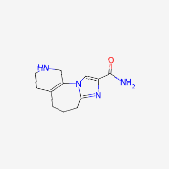 NC(=O)c1cn2c(n1)CCCC1=C2CNCC1